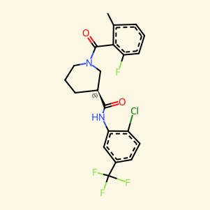 Cc1cccc(F)c1C(=O)N1CCC[C@H](C(=O)Nc2cc(C(F)(F)F)ccc2Cl)C1